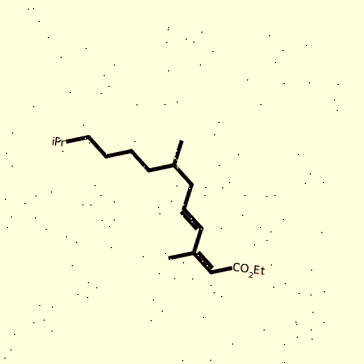 CCOC(=O)C=C(C)C=CCC(C)CCCCC(C)C